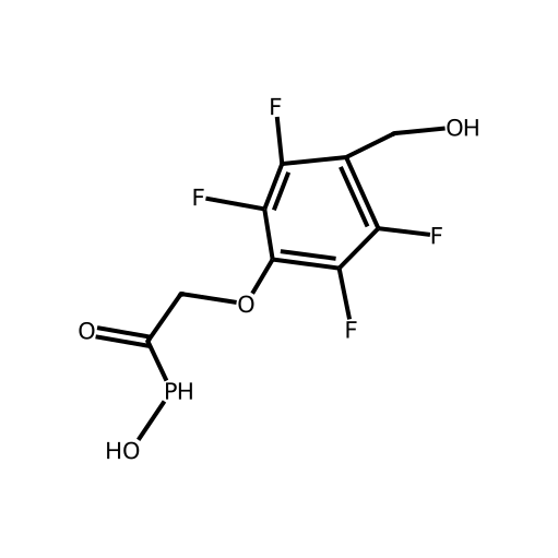 O=C(COc1c(F)c(F)c(CO)c(F)c1F)PO